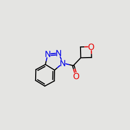 O=C(C1COC1)n1nnc2ccccc21